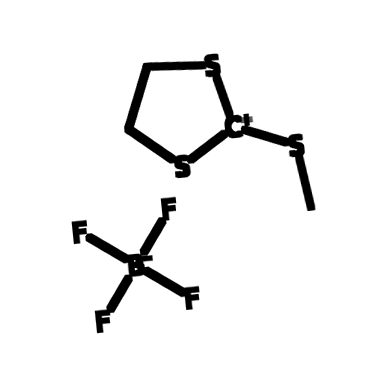 CS[C+]1SCCS1.F[B-](F)(F)F